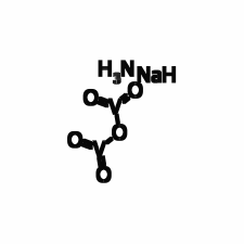 N.[NaH].[O]=[V](=[O])[O][V](=[O])=[O]